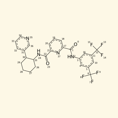 O=C(Nc1cc(C(F)(F)F)cc(C(F)(F)F)c1)c1cccc(C(=O)NC2CCCCC2c2cccnc2)n1